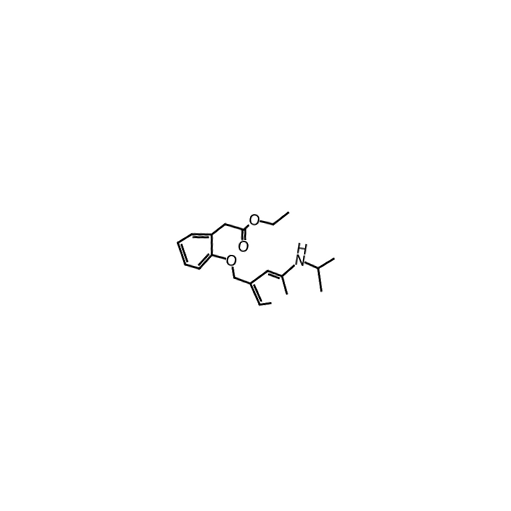 C/C=C(\C=C(/C)NC(C)C)COc1ccccc1CC(=O)OCC